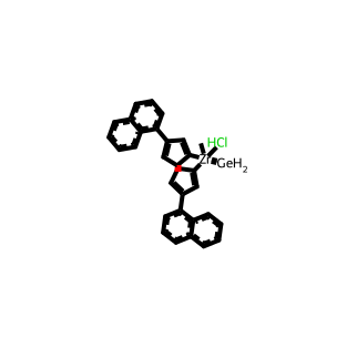 Cl.[CH3][Zr]([CH3])(=[GeH2])([C]1=CC(c2cccc3ccccc23)=CC1)[C]1=CC(c2cccc3ccccc23)=CC1